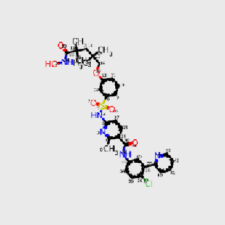 Cc1nc(NS(=O)(=O)c2cccc(OCC(C)(C)CC(C)(C)C(=O)NO)c2)ccc1C(=O)Nc1ccc(Cl)c(-c2ccccn2)c1